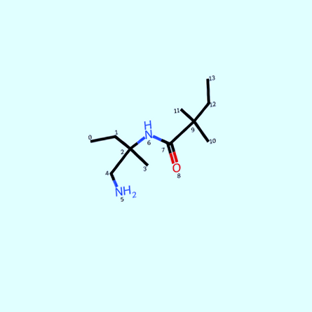 CCC(C)(CN)NC(=O)C(C)(C)CC